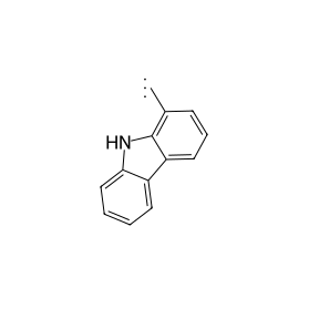 [C]c1cccc2c1[nH]c1ccccc12